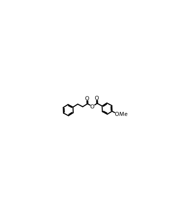 COc1ccc(C(=O)OC(=O)CCc2ccccc2)cc1